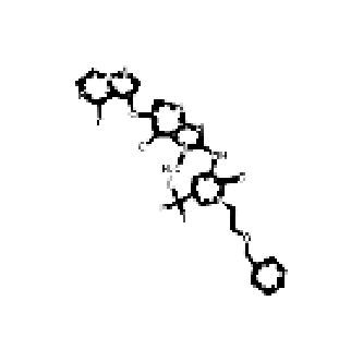 Cn1c(Nc2cc(C(F)(F)F)cn(CCOCc3ccccc3)c2=O)nc2ncc(Oc3cnn4ccnc(Cl)c34)c(Cl)c21